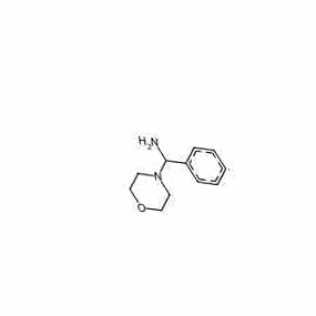 NC(c1cc[c]cc1)N1CCOCC1